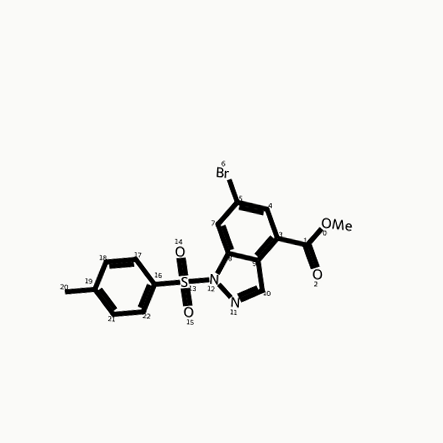 COC(=O)c1cc(Br)cc2c1cnn2S(=O)(=O)c1ccc(C)cc1